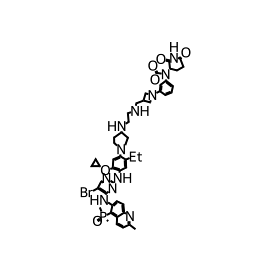 CCc1cc(Nc2ncc(Br)c(Nc3ccc4nc(C)ccc4c3P(C)(C)=O)n2)c(OC2CC2)cc1N1CCC(NCCNCC2CN(c3cccc4c3oc(=O)n4C3CCC(=O)NC3=O)C2)CC1